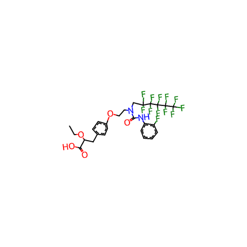 CCOC(Cc1ccc(OCCN(CC(F)(F)C(F)(F)C(F)(F)C(F)(F)C(F)(F)F)C(=O)Nc2ccccc2F)cc1)C(=O)O